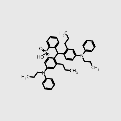 CCCc1cc(N(CCC)c2ccccc2)ccc1C(c1ccc(N(CCC)c2ccccc2)cc1CCC)c1ccccc1S(=O)(=O)O